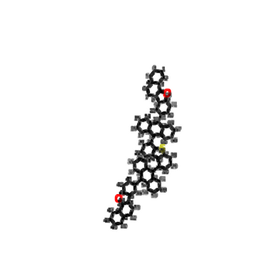 c1ccc2c(c1)ccc1c3cc(-c4c5ccccc5c(-c5cccc6c5sc5cccc(-c7c8ccccc8c(-c8ccc9oc%10c%11ccccc%11ccc%10c9c8)c8ccccc78)c56)c5ccccc45)ccc3oc21